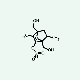 CC1C(O[SH](=O)=O)C2(CO)OC1(CO)CC2C